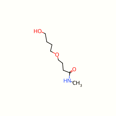 CNC(=O)CCCOCCCCO